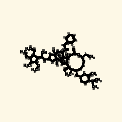 CC[C@H]1CCC[C@H](O[C@H]2CC[C@H](N(C)C)C(C)O2)[C@@H](C)C(=O)C2=C[C@H]3[C@@H]4C[C@H](O[C@H](O)C5C(OC)C(C)[C@H](OC)C5OC)C[C@H]4CC(NCc4ccccc4)[C@H]3[C@@H]2CC(=O)O1